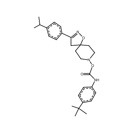 CC(C)c1ccc(C2=NOC3(CCN(OC(=O)Nc4ccc(C(C)(C)C)cc4)CC3)C2)cc1